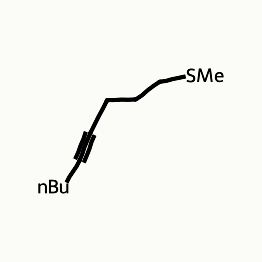 [CH2]CCCC#CCCCSC